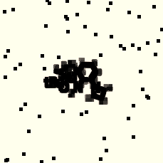 CC(C)(C)[Si](C)(C)OC1(F)C=CC=C(N2CCC2)C1[N+](=O)[O-]